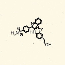 COc1cc(CCO)ccc1Nc1nc2ccccc2nc1-c1ccc(S(N)(=O)=O)cc1